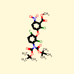 COC(=O)c1c([N+](=O)[O-])ccc(Oc2c(F)ccc(N(C(=O)OC(C)(C)C)C(=O)OC(C)(C)C)c2Cl)c1Cl